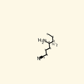 CC[C@H](C)C(N)CCCC#N